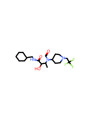 CC(C(O)C(=O)NCC1CCCCC1)N(C=O)C1CCN(CC(F)(F)F)CC1